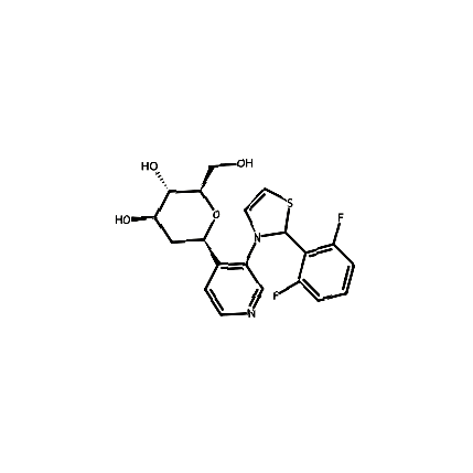 OC[C@H]1O[C@@H](c2ccncc2N2C=CSC2c2c(F)cccc2F)C[C@@H](O)[C@@H]1O